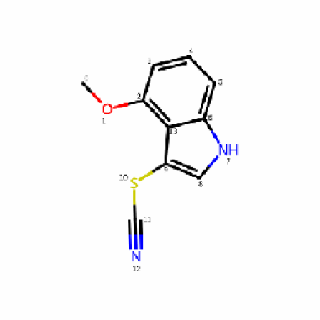 COc1cccc2[nH]cc(SC#N)c12